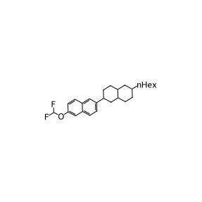 CCCCCCC1CCC2CC(c3ccc4cc(OC(F)F)ccc4c3)CCC2C1